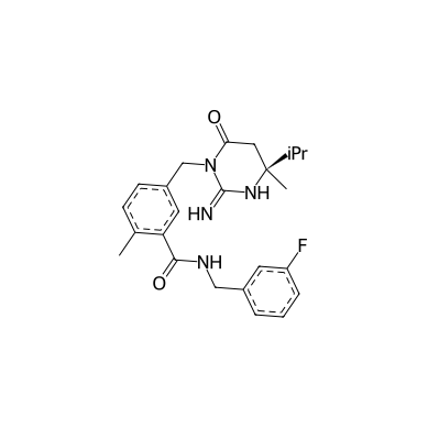 Cc1ccc(CN2C(=N)N[C@](C)(C(C)C)CC2=O)cc1C(=O)NCc1cccc(F)c1